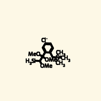 COC([SiH3])C(OC)(OC)c1ccccc1C[N+](C)(C)C.[Cl-]